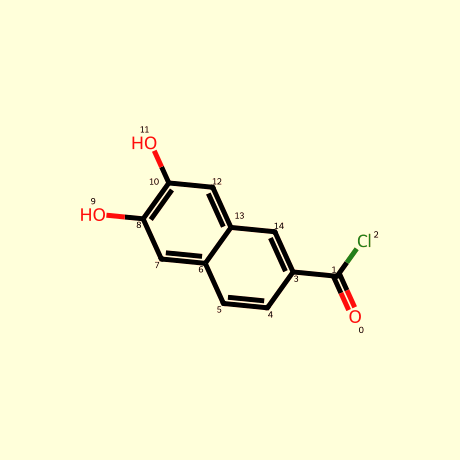 O=C(Cl)c1ccc2cc(O)c(O)cc2c1